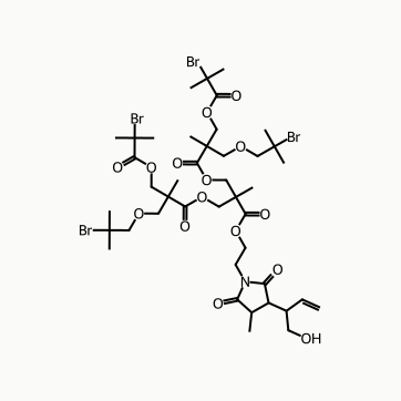 C=CC(CO)C1C(=O)N(CCOC(=O)C(C)(COC(=O)C(C)(COCC(C)(C)Br)COC(=O)C(C)(C)Br)COC(=O)C(C)(COCC(C)(C)Br)COC(=O)C(C)(C)Br)C(=O)C1C